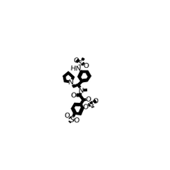 CN(C(=O)C(OS(C)(=O)=O)c1ccc(S(C)(=O)=O)cc1)C(CN1CCCC1)c1cccc(NS(C)(=O)=O)c1